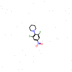 O=[N+]([O-])c1cc(F)c(N2CC[CH]CC2)c(F)c1